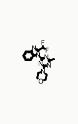 Cc1nc(N2CCOCC2)nc(-n2c(C(F)F)nc3ccccc32)n1